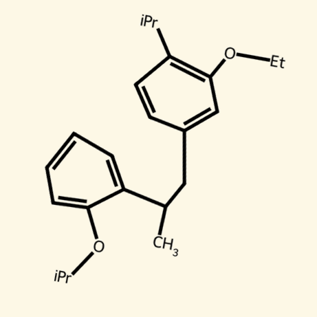 CCOc1cc(CC(C)c2ccccc2OC(C)C)ccc1C(C)C